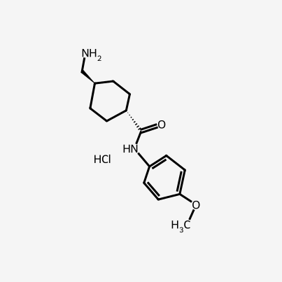 COc1ccc(NC(=O)[C@H]2CC[C@H](CN)CC2)cc1.Cl